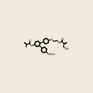 C=C(C)C(=O)Oc1ccc(-c2ccc(OCCOC(=O)C(=C)CO)cc2)c(-c2ccc(CCCCC)cc2)c1